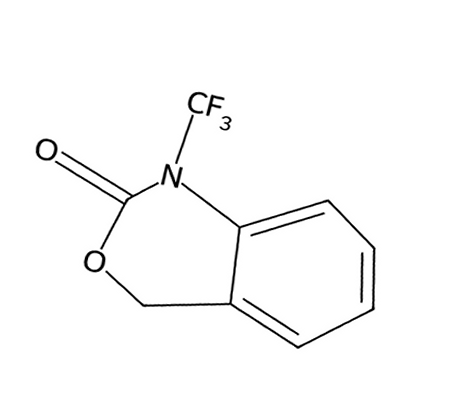 O=C1OCc2ccccc2N1C(F)(F)F